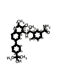 Cc1nc2ccc(-c3ccc(C(C)(C)O)cc3)cc2c(N[C@H](C)c2cc(C(N)=O)ccc2F)c1Cl